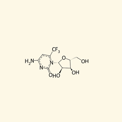 Nc1cc(C(F)(F)F)n([C@@H]2O[C@H](CO)[C@@H](O)[C@H]2O)c(=O)n1